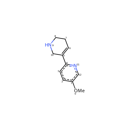 COc1ccc(C2=CCCNC2)nc1